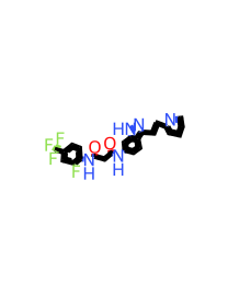 O=C(CC(=O)Nc1ccc(C(F)(F)F)cc1F)Nc1ccc2c(/C=C/c3ccccn3)n[nH]c2c1